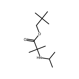 CC(C)NC(C)(C)C(=O)OCC(C)(C)C